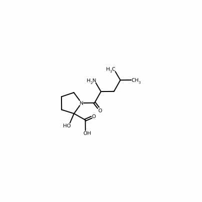 CC(C)CC(N)C(=O)N1CCCC1(O)C(=O)O